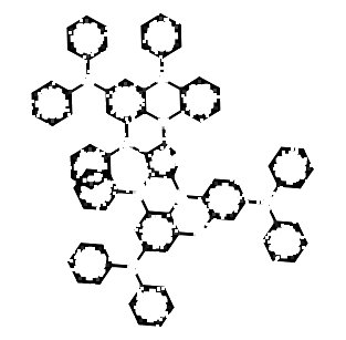 c1ccc(N(c2ccccc2)c2ccc3c(c2)Oc2cc(N(c4ccccc4)c4ccccc4)cc4c2B3c2sc3c(c2N4c2ccccc2)N(c2ccccc2)c2cc(N(c4ccccc4)c4ccccc4)cc4c2B3c2ccccc2N4c2ccccc2)cc1